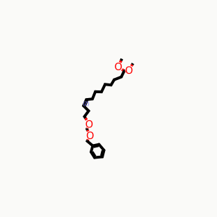 COC(CCCCCCC/C=C\CCOCOCc1ccccc1)OC